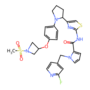 CS(=O)(=O)N1CC(Oc2ccc(N3CCCC3c3csc(NC(=O)c4cccn4Cc4ccnc(F)c4)n3)cc2)C1